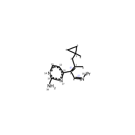 C/C(CC1(C)CC1)=C(\C=N/C(C)C)c1ccnc(N)n1